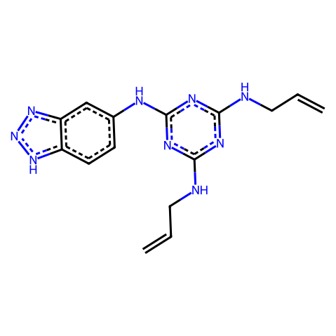 C=CCNc1nc(NCC=C)nc(Nc2ccc3[nH]nnc3c2)n1